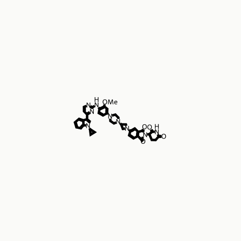 COc1cc(N2CCN(C3CN(c4ccc5c(c4)C(=O)N(C4CCC(=O)NC4=O)C5=O)C3)CC2)ccc1Nc1nccc(-c2cn(C3CC3)c3ccccc23)n1